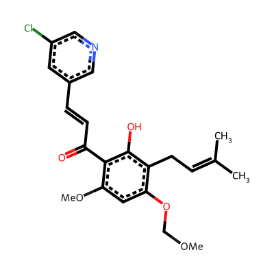 COCOc1cc(OC)c(C(=O)/C=C/c2cncc(Cl)c2)c(O)c1CC=C(C)C